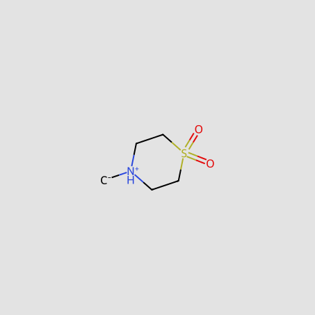 [CH2-][NH+]1CCS(=O)(=O)CC1